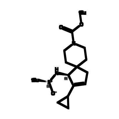 CC(C)(C)OC(=O)N1CCC2(CC=C(C3CC3)[C@H]2N[S@+]([O-])C(C)(C)C)CC1